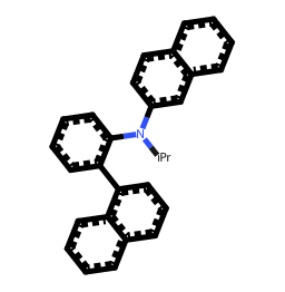 CC(C)N(c1ccc2ccccc2c1)c1ccccc1-c1cccc2ccccc12